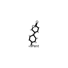 CCCCCC1CCC(C2CCC(=O)OC2)CC1